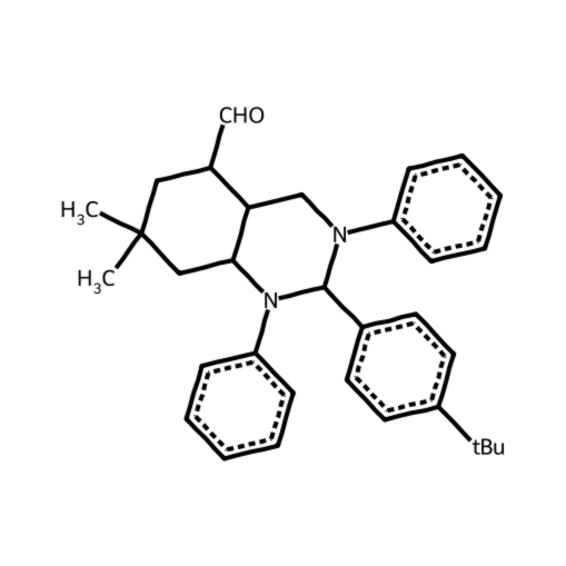 CC1(C)CC(C=O)C2CN(c3ccccc3)C(c3ccc(C(C)(C)C)cc3)N(c3ccccc3)C2C1